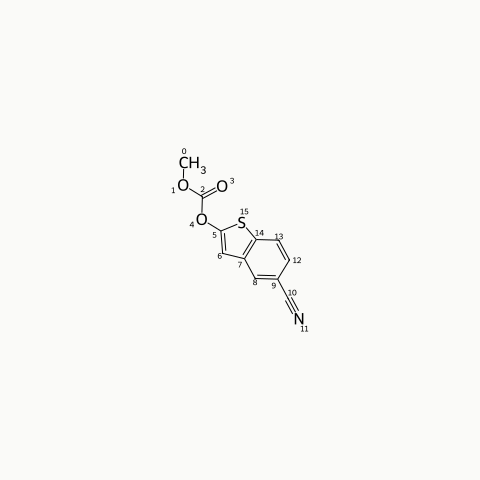 COC(=O)Oc1cc2cc(C#N)ccc2s1